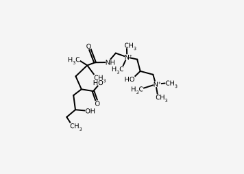 CCC(O)CC(CC(C)(C)C(=O)NC[N+](C)(C)CC(O)C[N+](C)(C)C)C(=O)O